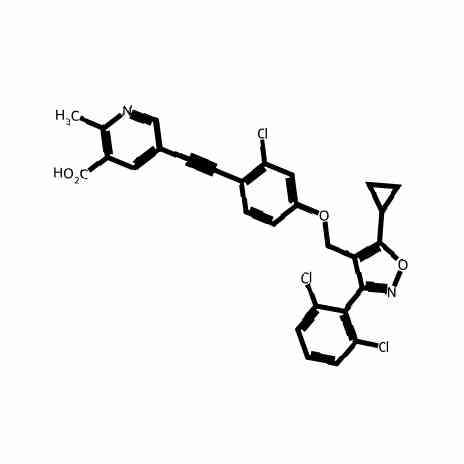 Cc1ncc(C#Cc2ccc(OCc3c(-c4c(Cl)cccc4Cl)noc3C3CC3)cc2Cl)cc1C(=O)O